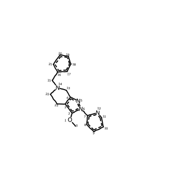 COc1c2c(nn1-c1ccccn1)CN(Cc1ccccc1)CC2